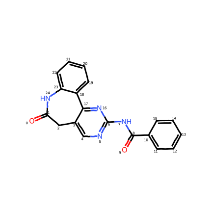 O=C1Cc2cnc(NC(=O)c3ccccc3)nc2-c2ccccc2N1